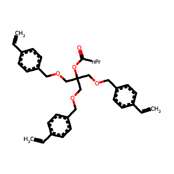 C=Cc1ccc(COCC(COCc2ccc(C=C)cc2)(COCc2ccc(C=C)cc2)OC(=O)CCC)cc1